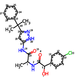 CC(NC(=O)C(O)c1ccc(Cl)cc1)C(=O)Nc1cc(C(C)(C)c2ccccc2)n[nH]1